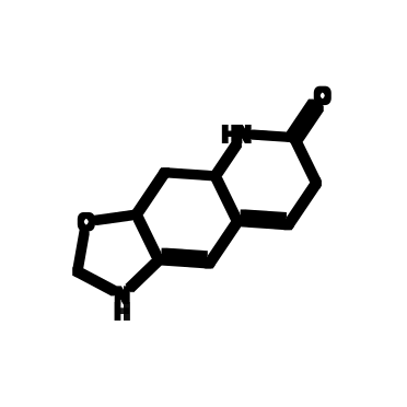 O=C1CC=C2C=C3NCOC3CC2N1